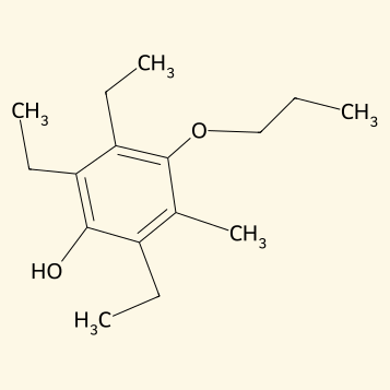 CCCOc1c(C)c(CC)c(O)c(CC)c1CC